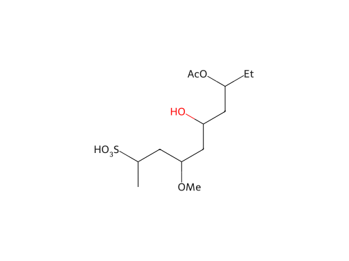 CCC(CC(O)CC(CC(C)S(=O)(=O)O)OC)OC(C)=O